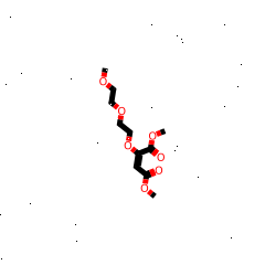 COCCOCCO/C(=C/C(=O)OC)C(=O)OC